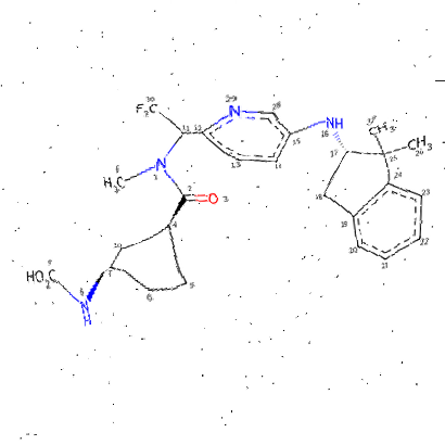 CN(C(=O)[C@H]1CC[C@@H](NC(=O)O)C1)C(c1ccc(N[C@H]2Cc3ccccc3C2(C)C)cn1)C(F)(F)F